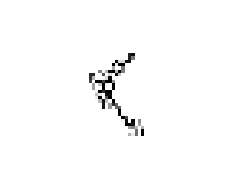 O=C(O)CCCCNCc1cccc2c(C(F)(F)F)c(OC3CCC(C(F)(F)F)CC3)ccc12